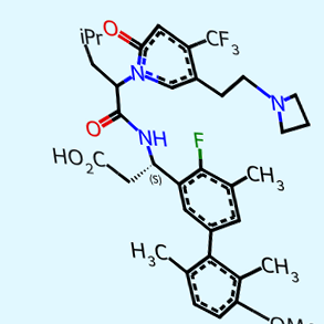 COc1ccc(C)c(-c2cc(C)c(F)c([C@H](CC(=O)O)NC(=O)C(CC(C)C)n3cc(CCN4CCC4)c(C(F)(F)F)cc3=O)c2)c1C